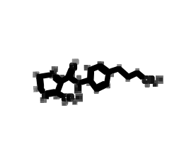 O=C(O)CCCc1ccc(NC(=O)c2nccnc2C(=O)O)cc1